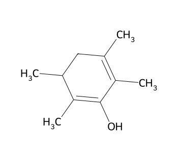 CC1=C(C)C(O)=C(C)C(C)C1